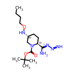 CCCCON[C@@H]1CC[C@@H](/C(N)=N/N=N)N(C(=O)OC(C)(C)C)C1